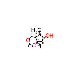 C=C1C2COCO[C@H]2C[C@H]1O